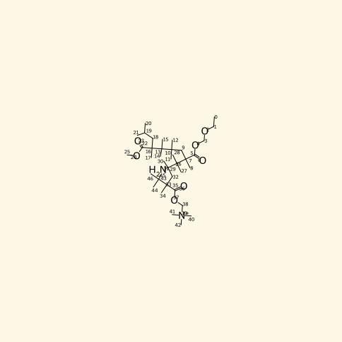 CCOCOC(=O)C(C)(CC(C)(C)C(C)(C)C(C)(CC(C)C)C(=O)OC)C(C)(C)C(C)(N)CC(C)(C(=O)OC[N+](C)(C)C)C(C)(C)C